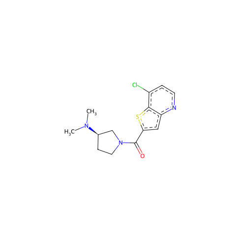 CN(C)[C@@H]1CCN(C(=O)c2cc3nccc(Cl)c3s2)C1